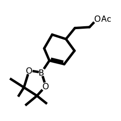 CC(=O)OCCC1CC=C(B2OC(C)(C)C(C)(C)O2)CC1